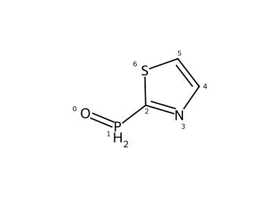 O=[PH2]c1nccs1